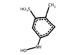 Cc1ccc(NO)cc1S(=O)(=O)O